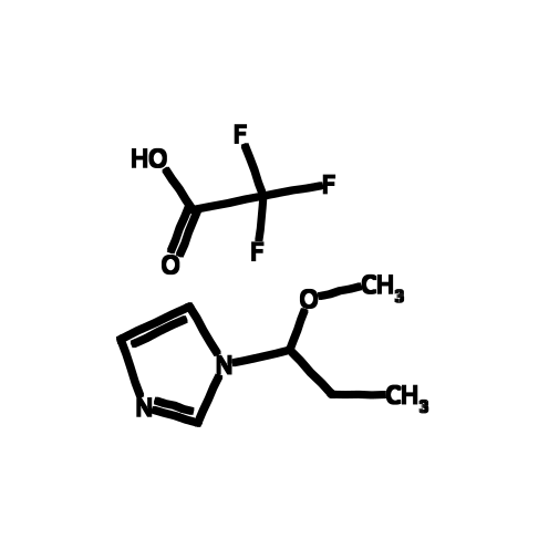 CCC(OC)n1ccnc1.O=C(O)C(F)(F)F